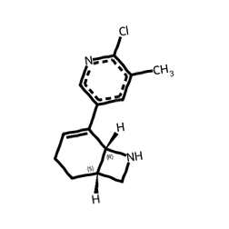 Cc1cc(C2=CCC[C@H]3CN[C@@H]23)cnc1Cl